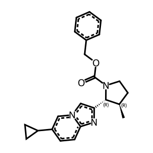 C[C@@H]1CCN(C(=O)OCc2ccccc2)[C@H]1c1cn2cc(C3CC3)ccc2n1